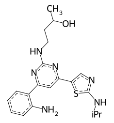 CC(O)CCNc1nc(-c2cnc(NC(C)C)s2)cc(-c2ccccc2N)n1